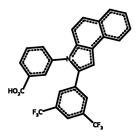 O=C(O)c1cccc(-n2c(-c3cc(C(F)(F)F)cc(C(F)(F)F)c3)cc3c4ccccc4ccc32)c1